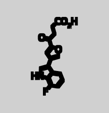 O=C(O)CCC(=O)c1cc(-c2c[nH]c3c(F)cccc23)co1